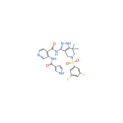 CC1(C)CN(S(=O)(=O)c2cc(F)cc(F)c2)Cc2c(NC(=O)c3ccncc3NC(=O)c3cc[nH]c3)n[nH]c21